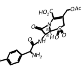 CC(=O)OCC1=C(C(=O)O)N2C(=O)[C@H](NC(=O)C(N)c3ccc(O)cc3)[C@@H]2S(=O)(=O)C1